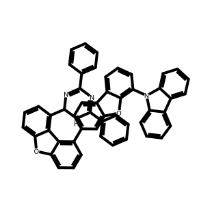 c1ccc(C2=NC(c3cccc4oc5cccc(-c6ccc7c(c6)oc6c(-n8c9ccccc9c9ccccc98)cccc67)c5c34)NC(c3ccccc3)=N2)cc1